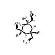 C=C[Si]1(CCC)O[Si](C=C)(C(C)C)O[Si](C=C)(C(C)C)O1